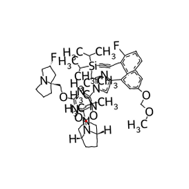 COCOc1cc(-c2cn(-c3nc(OC[C@@]45CCCN4C[C@H](F)C5)nc(N4C[C@H]5CC[C@@H](C4)N5C(=O)OC(C)(C)C)n3)cn2)c2c(C#C[Si](C(C)C)(C(C)C)C(C)C)c(F)ccc2c1